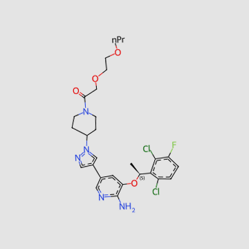 CCCOCCOCC(=O)N1CCC(n2cc(-c3cnc(N)c(O[C@@H](C)c4c(Cl)ccc(F)c4Cl)c3)cn2)CC1